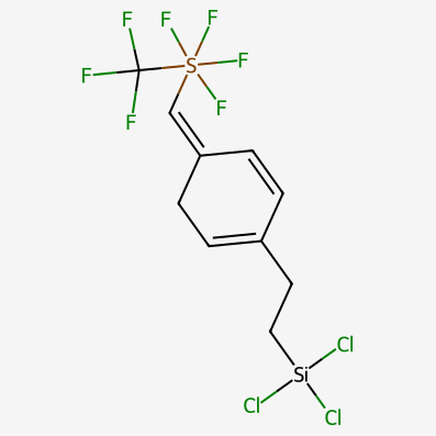 FC(F)(F)S(F)(F)(F)(F)C=C1C=CC(CC[Si](Cl)(Cl)Cl)=CC1